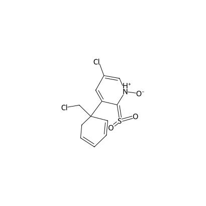 O=S(=O)=C1C(C2(CCl)C=CC=CC2)=CC(Cl)=C[NH+]1[O-]